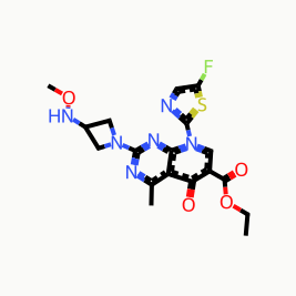 CCOC(=O)c1cn(-c2ncc(F)s2)c2nc(N3CC(NOC)C3)nc(C)c2c1=O